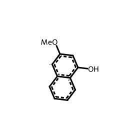 COc1[c]c2ccccc2c(O)c1